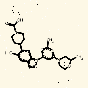 Cc1nc(N2CCOC(C)C2)cc(-n2ncc3cc(C)c(C4CCN(C(=O)O)CC4)cc32)n1